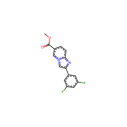 COC(=O)c1ccc2nc(-c3cc(F)cc(F)c3)cn2c1